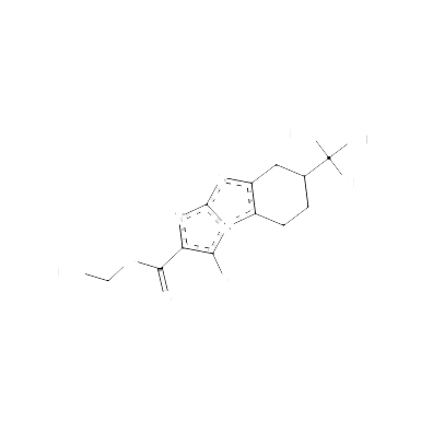 CCOC(=O)c1nc2sc3c(n2c1Br)CCC(C(C)(C)C)C3